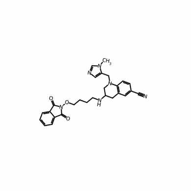 Cn1cncc1CN1CC(NCCCCON2C(=O)c3ccccc3C2=O)Cc2cc(C#N)ccc21